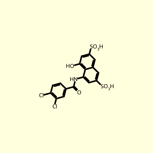 O=C(Nc1cc(S(=O)(=O)O)cc2cc(S(=O)(=O)O)cc(O)c12)c1ccc(Cl)c(Cl)c1